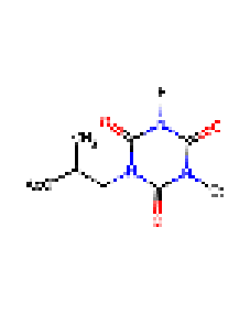 CCn1c(=O)n(CC)c(=O)n(CC(C)OC(C)=O)c1=O